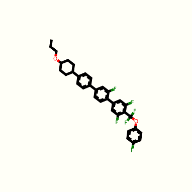 CCCOC1CCC(c2ccc(-c3ccc(-c4cc(F)c(C(F)(F)Oc5ccc(F)cc5)c(F)c4)c(F)c3)cc2)CC1